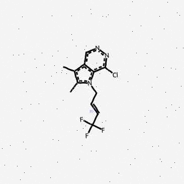 Cc1c(C)n(C/C=C/C(F)(F)F)c2c(Cl)nncc12